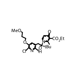 CCOC(=O)c1c(C)n([C@](O)(Cc2cc(OCCCOC)c(Cl)nc2I)C(C)(C)C)ccc1=O